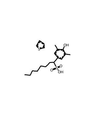 CCCCCCCC(c1cc(C)c(O)c(C)c1)S(=O)(=O)O.c1ccsc1